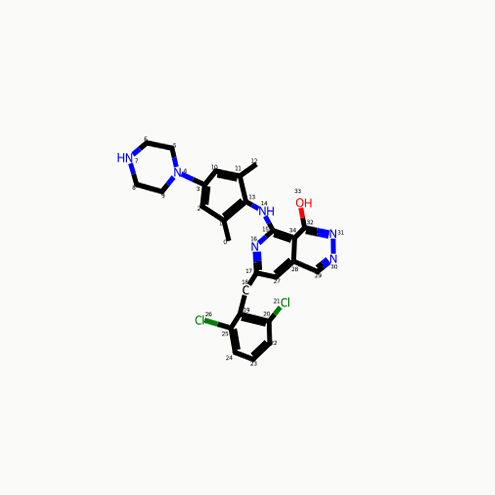 Cc1cc(N2CCNCC2)cc(C)c1Nc1nc(Cc2c(Cl)cccc2Cl)cc2cnnc(O)c12